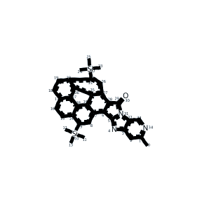 Cc1cc2nc3c4c5cc([Si](C)(C)C)c6ccc7ccc8c([Si](C)(C)C)cc(c4c(=O)n3c2cn1)c1c8c7c6c51